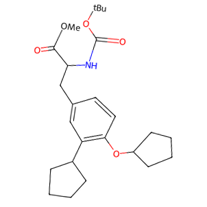 COC(=O)C(Cc1ccc(OC2CCCC2)c(C2CCCC2)c1)NC(=O)OC(C)(C)C